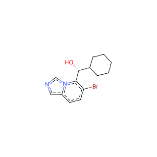 O[C@@H](c1c(Br)ccc2cncn12)C1CCCCC1